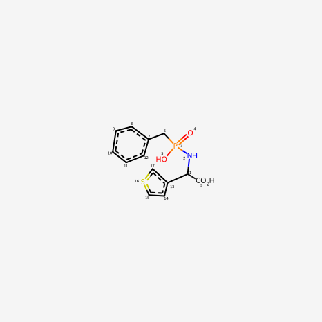 O=C(O)C(NP(=O)(O)Cc1ccccc1)c1ccsc1